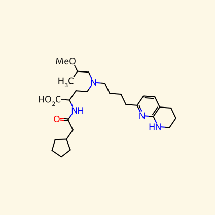 COC(C)CN(CCCCc1ccc2c(n1)NCCC2)CCC(NC(=O)CC1CCCC1)C(=O)O